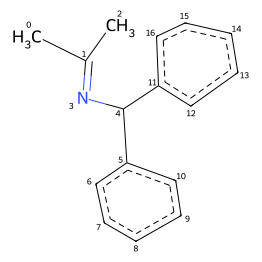 CC(C)=NC(c1ccccc1)c1ccccc1